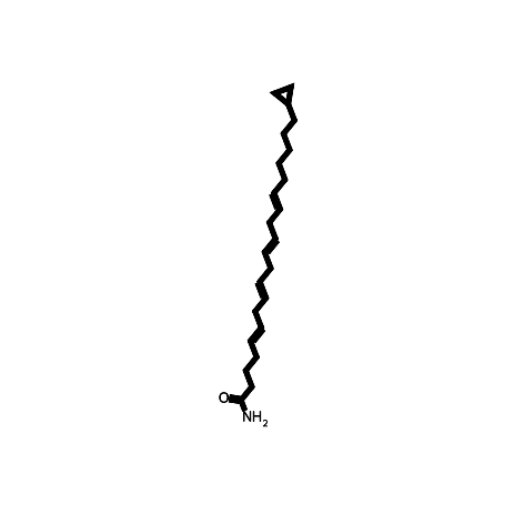 NC(=O)CCCC=CCC=CCC=CCC=CCCCCCC1CC1